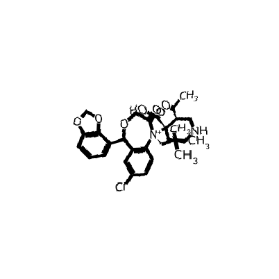 CC(=O)[C@H]1CNCC[C@]1(C(=O)O)[N@+]1(CC(C)(C)C)C(=O)COC(c2cccc3c2OCO3)c2cc(Cl)ccc21